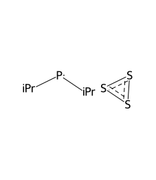 CC(C)[P]C(C)C.s1ss1